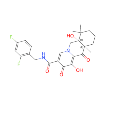 CC1(C)CCC[C@@]2(C)C(=O)c3c(O)c(=O)c(C(=O)NCc4ccc(F)cc4F)cn3C[C@@]12O